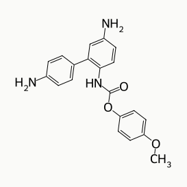 COc1ccc(OC(=O)Nc2ccc(N)cc2-c2ccc(N)cc2)cc1